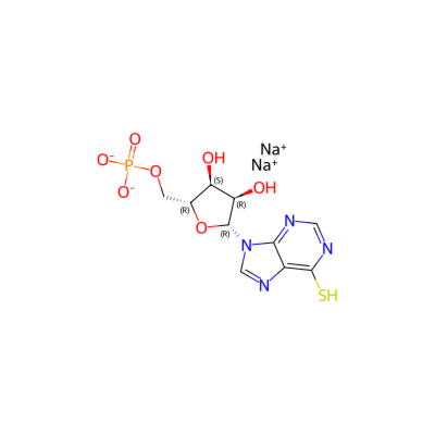 O=P([O-])([O-])OC[C@H]1O[C@@H](n2cnc3c(S)ncnc32)[C@H](O)[C@@H]1O.[Na+].[Na+]